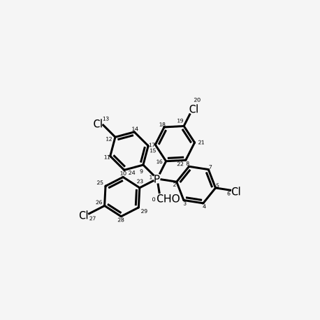 O=CP(c1ccc(Cl)cc1)(c1ccc(Cl)cc1)(c1ccc(Cl)cc1)c1ccc(Cl)cc1